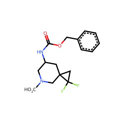 O=C(NC1CN(C(=O)O)CC2(C1)CC2(F)F)OCc1ccccc1